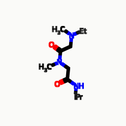 CCN(C)CC(=O)N(C)CC(=O)NC(C)C